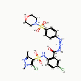 Cc1nn(C)c(Cl)c1S(=O)(=O)Nc1ccc(Cl)cc1C(=O)N=[N+]=Nc1ccc(S(=O)(=O)N2CCOCC2)cc1